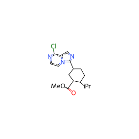 COC(=O)C1CC(c2ncc3c(Cl)nccn23)CCC1C(C)C